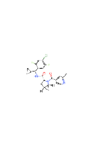 Cc1cc(C(=O)N2[C@@H](C(=O)NC(c3cc(F)c(Cl)cc3F)C3CC3)C[C@H]3C[C@H]32)ccn1